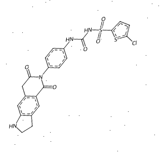 O=C(Nc1ccc(N2C(=O)Cc3cc4c(cc3C2=O)CCN4)cc1)NS(=O)(=O)c1ccc(Cl)s1